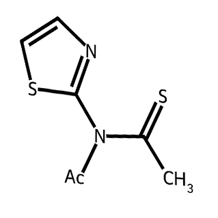 CC(=O)N(C(C)=S)c1nccs1